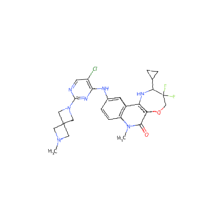 CN1CC2(C1)CN(c1ncc(Cl)c(Nc3ccc4c(c3)c3c(c(=O)n4C)OCC(F)(F)C(C4CC4)N3)n1)C2